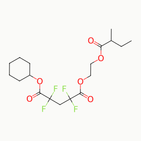 CCC(C)C(=O)OCCOC(=O)C(F)(F)CC(F)(F)C(=O)OC1CCCCC1